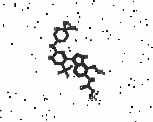 COC(=O)Nc1ccc2c(C3=NC(NC4CCC(C)(C)NC4)NC=C3C(F)(F)F)c[nH]c2c1OC